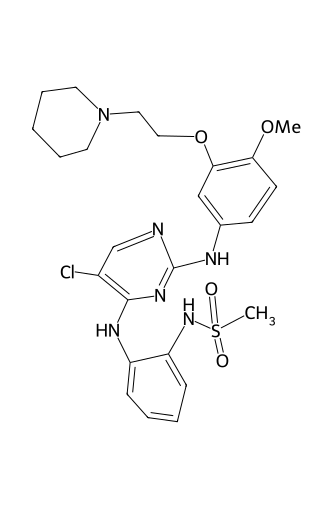 COc1ccc(Nc2ncc(Cl)c(Nc3ccccc3NS(C)(=O)=O)n2)cc1OCCN1CCCCC1